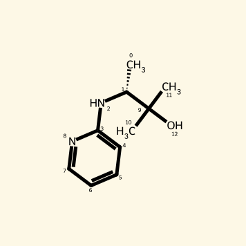 C[C@@H](Nc1ccccn1)C(C)(C)O